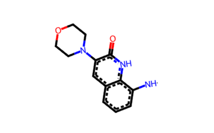 [NH]c1cccc2cc(N3CCOCC3)c(=O)[nH]c12